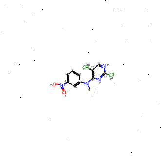 CN(c1cccc([N+](=O)[O-])c1)c1nc(Cl)ncc1Cl